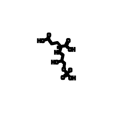 O=C(O)CC[C@H](NCC(O)COS(=O)(=O)O)C(=O)O